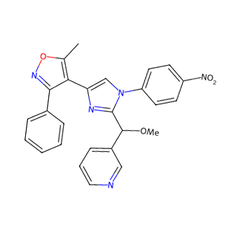 COC(c1cccnc1)c1nc(-c2c(-c3ccccc3)noc2C)cn1-c1ccc([N+](=O)[O-])cc1